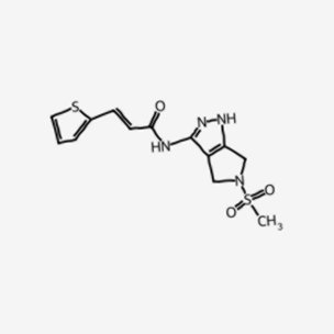 CS(=O)(=O)N1Cc2[nH]nc(NC(=O)C=Cc3cccs3)c2C1